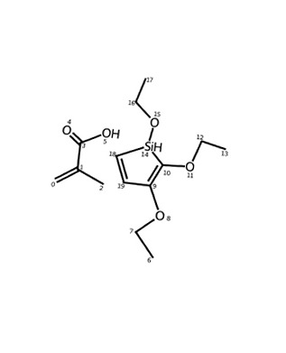 C=C(C)C(=O)O.CCOC1=C(OCC)[SiH](OCC)C=C1